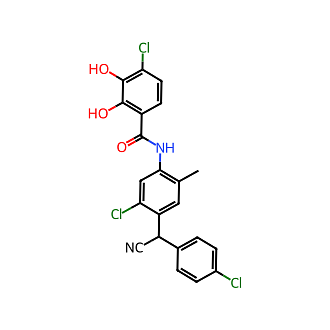 Cc1cc(C(C#N)c2ccc(Cl)cc2)c(Cl)cc1NC(=O)c1ccc(Cl)c(O)c1O